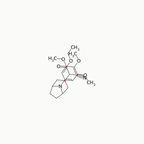 CCOC(=O)C(C#N)C1CC2CCC(C1)N2c1cc(OC)c(OC)c(OC)c1